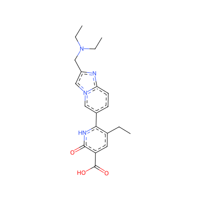 CCc1cc(C(=O)O)c(=O)[nH]c1-c1ccc2nc(CN(CC)CC)cn2c1